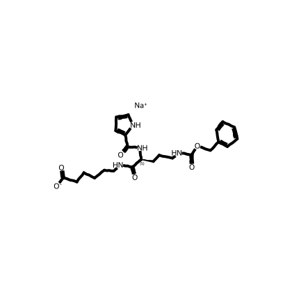 O=C([O-])CCCCCNC(=O)[C@H](CCCNC(=O)OCc1ccccc1)NC(=O)c1ccc[nH]1.[Na+]